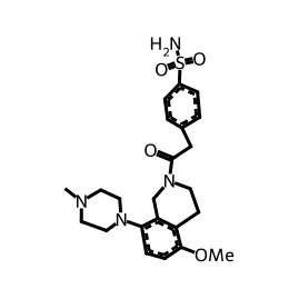 COc1ccc(N2CCN(C)CC2)c2c1CCN(C(=O)Cc1ccc(S(N)(=O)=O)cc1)C2